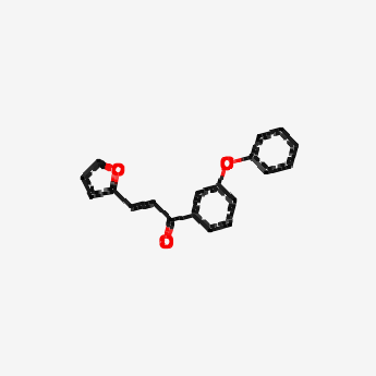 O=C(/C=C/c1ccco1)c1cccc(Oc2ccccc2)c1